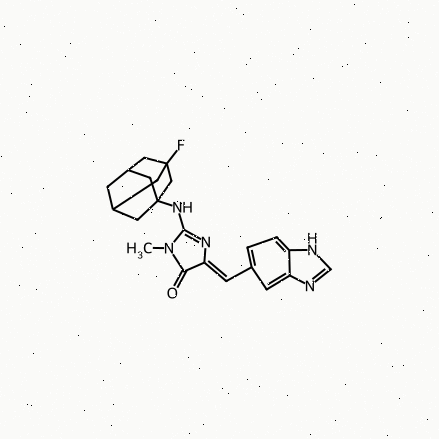 CN1C(=O)/C(=C/c2ccc3[nH]cnc3c2)N=C1NC12CC3CC(CC(F)(C3)C1)C2